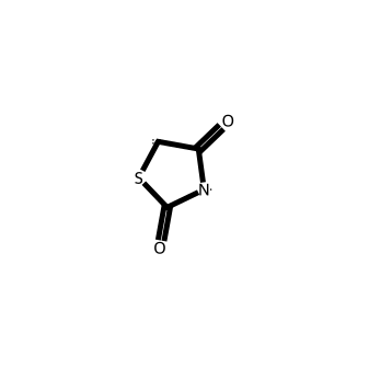 O=C1[C]SC(=O)[N]1